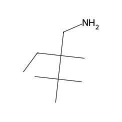 CCC(C)(CN)C(C)(C)C